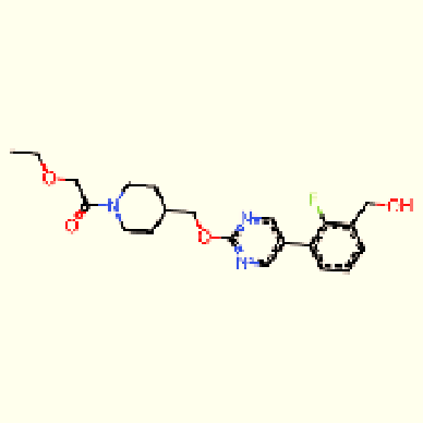 CCOCC(=O)N1CCC(COc2ncc(-c3cccc(CO)c3F)cn2)CC1